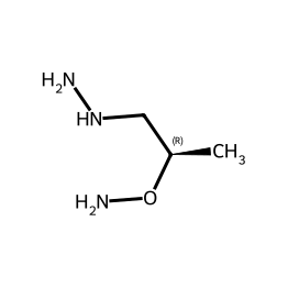 C[C@H](CNN)ON